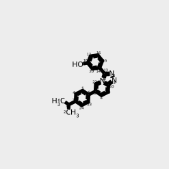 CC(C)c1ccc(-c2ccc3nnc(-c4cccc(O)c4)n3c2)cc1